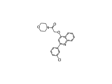 O=C(COc1cc(-c2cccc(Cl)c2)nc2ccccc12)N1CCOCC1